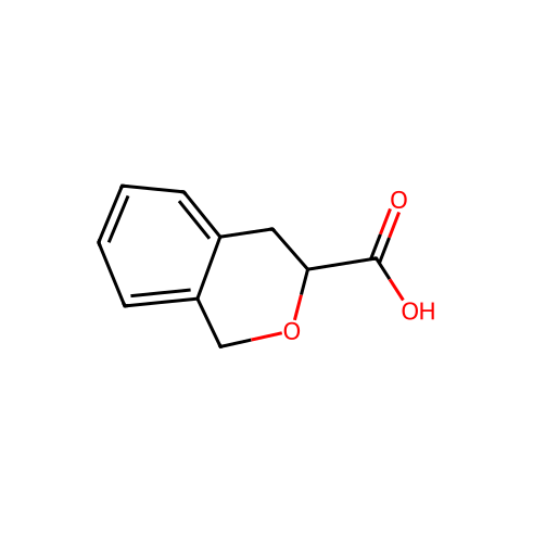 O=C(O)C1Cc2ccccc2CO1